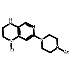 CCN1CCNc2cnc(N3CCN(C(C)=O)CC3)cc21